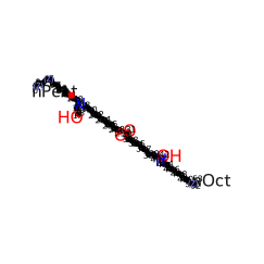 CCCCC/C=C\C/C=C\CCCCCCCCN(CCO)CCCCCCCCCCCOC(=O)CCCCCCCCCN(O)CCCCCCCC/C=C\CCCCCCCC